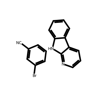 N#Cc1cccc(Br)c1.c1ccc2c(c1)[nH]c1ncccc12